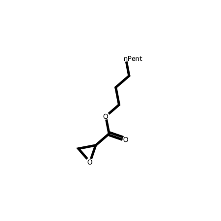 CCCCCCCCOC(=O)C1CO1